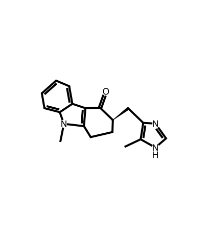 Cc1[nH]cnc1C[C@H]1CCc2c(c3ccccc3n2C)C1=O